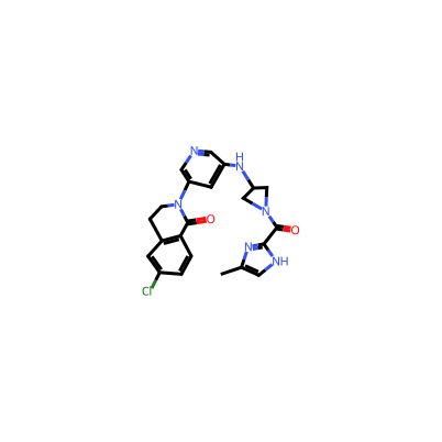 Cc1c[nH]c(C(=O)N2CC(Nc3cncc(N4CCc5cc(Cl)ccc5C4=O)c3)C2)n1